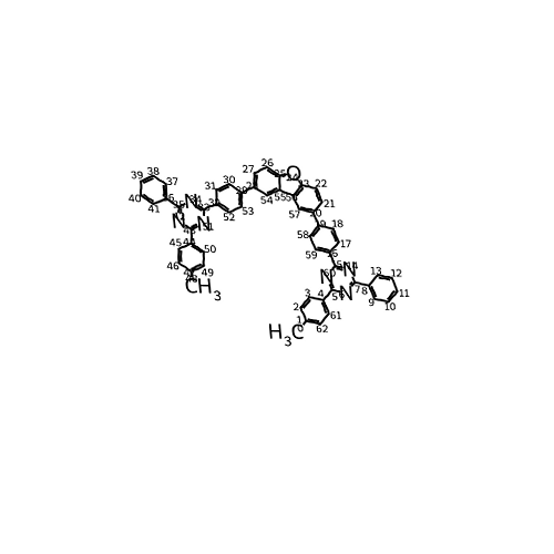 Cc1ccc(-c2nc(-c3ccccc3)nc(-c3ccc(-c4ccc5oc6ccc(-c7ccc(-c8nc(-c9ccccc9)nc(-c9ccc(C)cc9)n8)cc7)cc6c5c4)cc3)n2)cc1